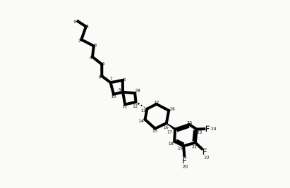 CCCCCCCC1CC2(C1)CC([C@H]1CC[C@H](c3cc(F)c(F)c(F)c3)CC1)C2